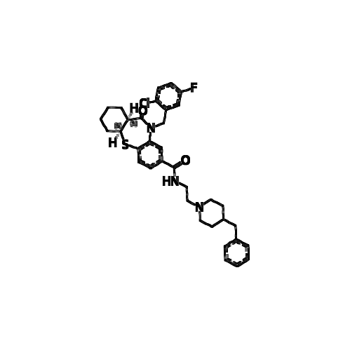 O=C(NCCN1CCC(Cc2ccccc2)CC1)c1ccc2c(c1)N(Cc1cc(F)ccc1Cl)C(=O)[C@@H]1CCCC[C@@H]1S2